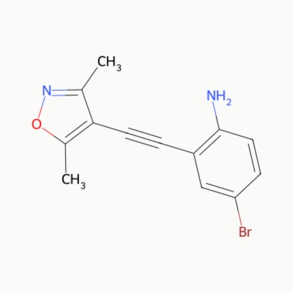 Cc1noc(C)c1C#Cc1cc(Br)ccc1N